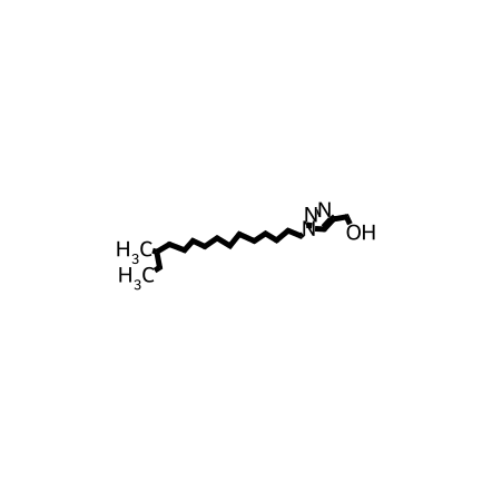 CCC(C)CCCCCCCCCCCCn1cc(CO)nn1